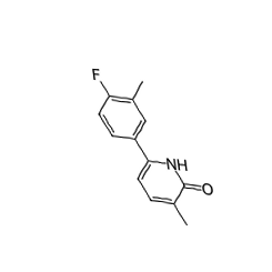 Cc1cc(-c2ccc(C)c(=O)[nH]2)ccc1F